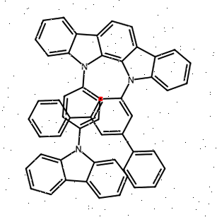 c1ccc(-c2cc(-c3ccccc3)cc(-n3c4ccccc4c4ccc5c6ccccc6n(-c6ccc(-n7c8ccccc8c8ccccc87)cc6)c5c43)c2)cc1